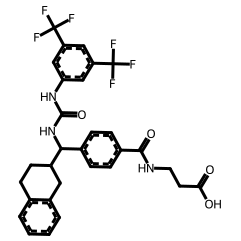 O=C(O)CCNC(=O)c1ccc(C(NC(=O)Nc2cc(C(F)(F)F)cc(C(F)(F)F)c2)C2CCc3ccccc3C2)cc1